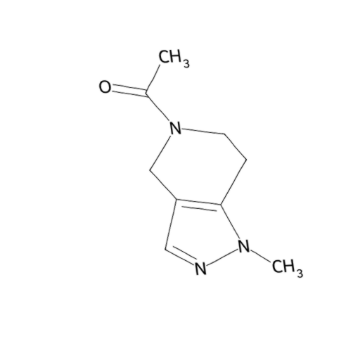 CC(=O)N1CCc2c(cnn2C)C1